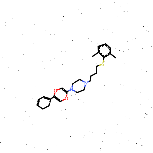 Cc1cccc(C)c1SCCCCN1CCN(C2=COC(C3=CC=CCC3)=CO2)CC1